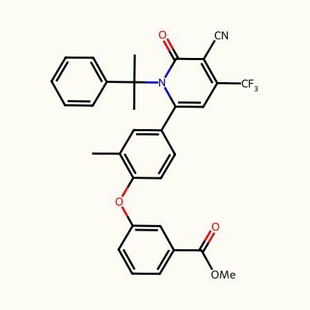 COC(=O)c1cccc(Oc2ccc(-c3cc(C(F)(F)F)c(C#N)c(=O)n3C(C)(C)c3ccccc3)cc2C)c1